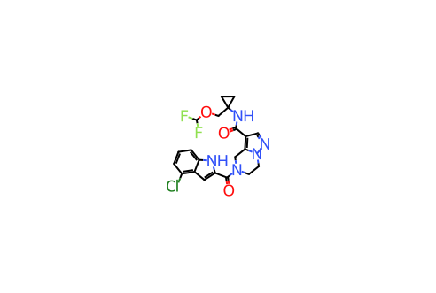 O=C(NC1(COC(F)F)CC1)c1cnn2c1CN(C(=O)c1cc3c(Cl)cccc3[nH]1)CC2